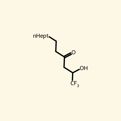 CCCCCCCCCC(=O)CC(O)C(F)(F)F